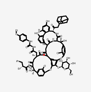 CCOc1ccc(NC(=O)NC(=O)C[C@@H]2CC(=O)[C@H](NC(=O)[C@H](CC)CC(C)C)[C@H](O)c3ccc(c(Cl)c3)Oc3cc4cc(c3O[C@@H]3O[C@H](CO)[C@@H](O)[C@H](O)[C@H]3O)Oc3ccc(cc3Cl)[C@@H](O)[C@@H]3NC(=O)[C@@H](CC(=O)[C@@H]4NC2=O)c2ccc(O)c(c2)-c2c(O)cc(O)cc2[C@@H](C(=O)CC2C4CC5CC(C4)CC2C5)NC3=O)cc1